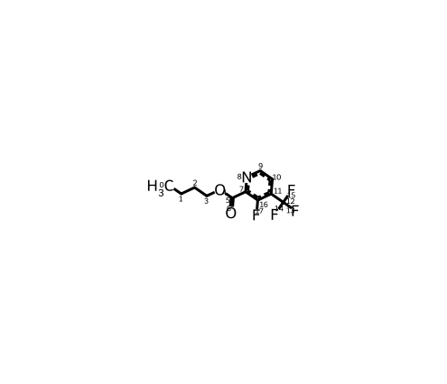 CCCCOC(=O)c1nccc(C(F)(F)F)c1F